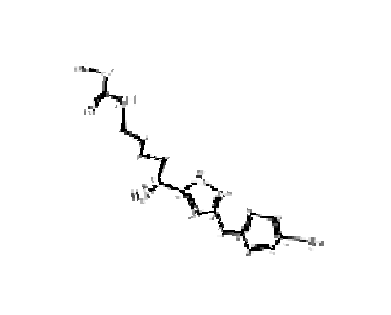 CC(C)(C)OC(=O)NCCCC[C@H](N)c1nc(Cc2ccc(C(C)(C)C)cc2)no1